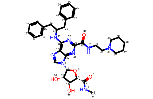 CCNC(=O)[C@H]1O[C@@H](n2cnc3c(NC(Cc4ccccc4)Cc4ccccc4)nc(C(=O)NCCN4CCCCC4)nc32)[C@@H](O)[C@@H]1O